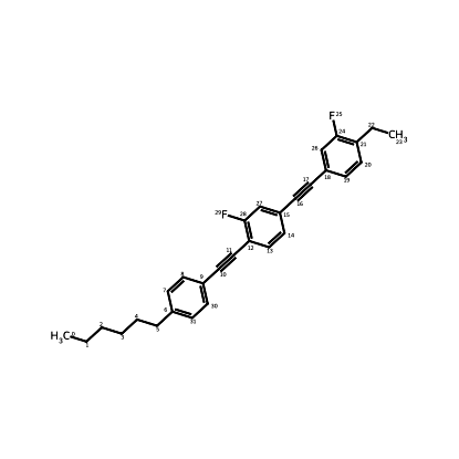 CCCCCCc1ccc(C#Cc2ccc(C#Cc3ccc(CC)c(F)c3)cc2F)cc1